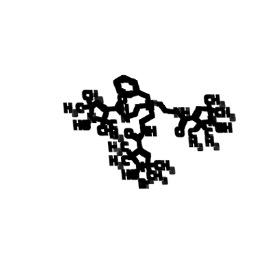 CC1(C)C=C(C(=O)NCC[N+](CCNC(=O)C2=CC(C)(C)N(O)C2(C)C)(CCNC(=O)C2=CC(C)(C)N(O)C2(C)C)Cc2ccccc2)C(C)(C)N1O.[Br-]